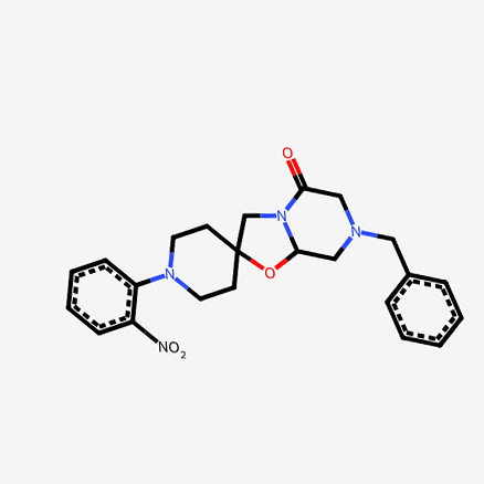 O=C1CN(Cc2ccccc2)CC2OC3(CCN(c4ccccc4[N+](=O)[O-])CC3)CN12